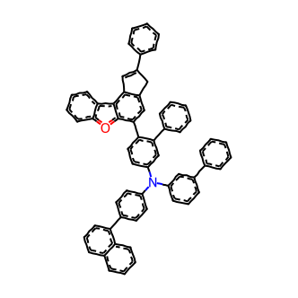 C1=C(c2ccccc2)Cc2cc(-c3ccc(N(c4ccc(-c5cccc6ccccc56)cc4)c4cccc(-c5ccccc5)c4)cc3-c3ccccc3)c3oc4ccccc4c3c21